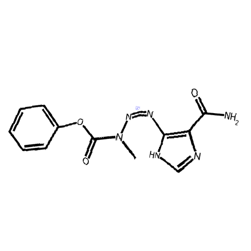 CN(/N=N\c1[nH]cnc1C(N)=O)C(=O)Oc1ccccc1